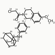 COc1ccc2c(c1)CCN(C(=O)CCl)[C@H]2c1ccc(NC23CC4CC(CC(C4)C2)C3)cc1